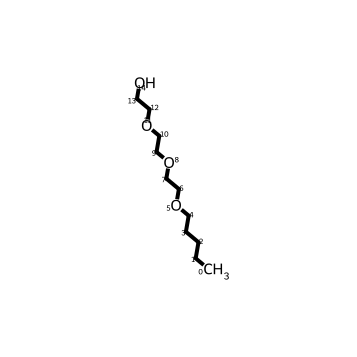 CCCCCOCCOCCOCCO